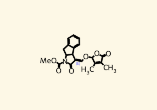 COC(=O)N1C(=O)/C(=C/OC2OC(=O)C(C)=C2C)C2c3ccccc3CC21